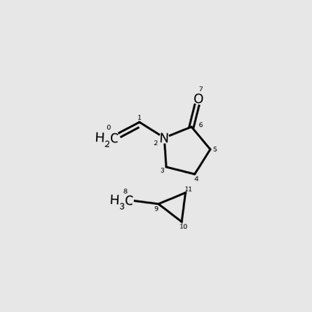 C=CN1CCCC1=O.CC1CC1